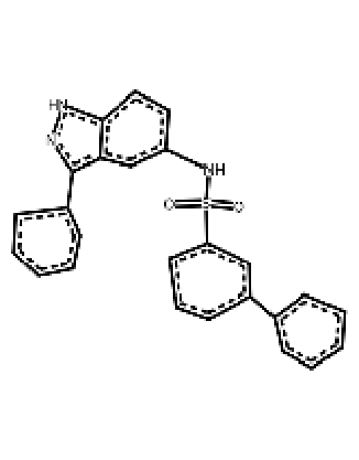 O=S(=O)(Nc1ccc2[nH]nc(-c3ccccc3)c2c1)c1cccc(-c2ccccc2)c1